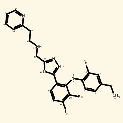 CCc1ccc(Nc2c(-c3nnc(CNCCc4ccccn4)o3)ccc(F)c2F)c(F)c1